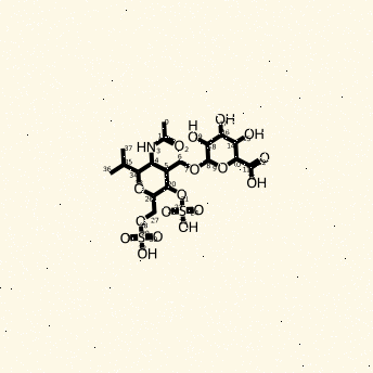 CC(=O)NC1C(COC2OC(C(=O)O)C(O)C(O)C2O)C(OS(=O)(=O)O)C(COS(=O)(=O)O)OC1C(C)C